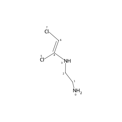 NCCNC(Cl)=CCl